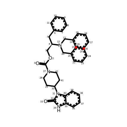 O=C(OC[C@@H](Cc1ccccc1)N(Cc1ccccc1)Cc1ccccc1)N1CCC(n2c(=O)[nH]c3ccccc32)CC1